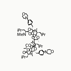 CN[C@@H](CC(C)C)C(=O)O[C@H](Cc1ccc(N2CCOCC2)cc1)C(=O)N(C)[C@@H](CC(C)C)C(=O)O[C@H](C)C(=O)N(C)[C@@H](CC(C)C)C(=O)O[C@H](Cc1ccc(N2CCOCC2)cc1)C(=O)N(C)[C@@H](CC(C)C)C(=O)O[C@H](C)C(=O)O